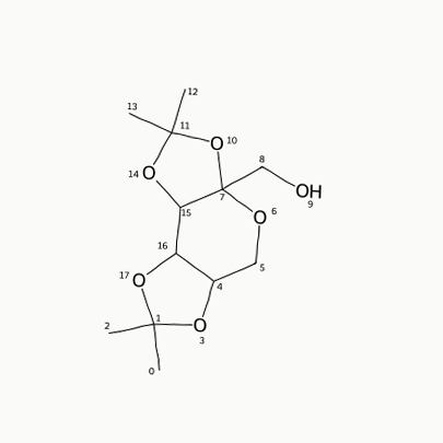 CC1(C)OC2COC3(CO)OC(C)(C)OC3C2O1